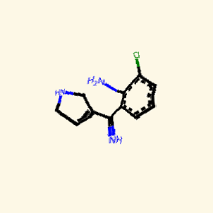 N=C(C1=CCNC1)c1cccc(Cl)c1N